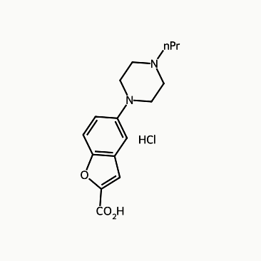 CCCN1CCN(c2ccc3oc(C(=O)O)cc3c2)CC1.Cl